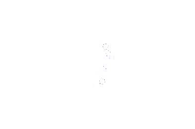 CCc1ccc(CC(=O)O)cc1OCCNCCCNc1nc2ccc(Cl)cc2s1